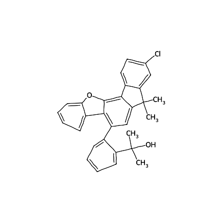 CC(C)(O)c1ccccc1-c1cc2c(c3oc4ccccc4c13)-c1ccc(Cl)cc1C2(C)C